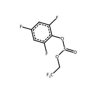 O=S(OCC(F)(F)F)Oc1c(F)cc(F)cc1F